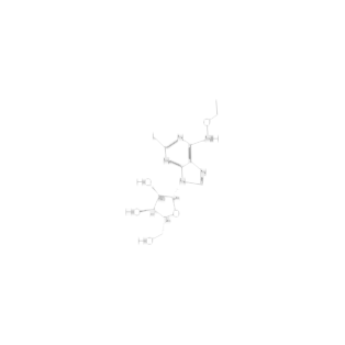 CCONc1nc(I)nc2c1ncn2[C@@H]1O[C@H](CO)[C@@H](O)[C@H]1O